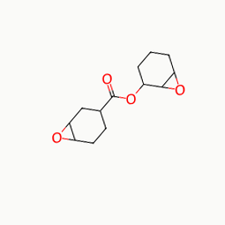 O=C(OC1CCCC2OC12)C1CCC2OC2C1